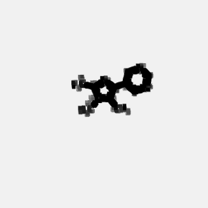 Cc1c(-c2cncnc2)nc(C(F)(F)F)n1C